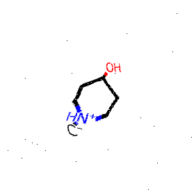 [CH2-][NH+]1CCC(O)CC1